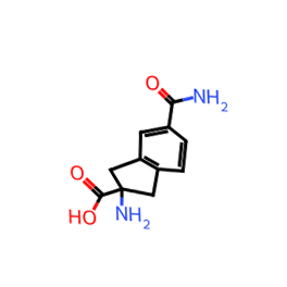 NC(=O)c1ccc2c(c1)CC(N)(C(=O)O)C2